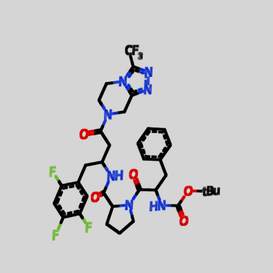 CC(C)(C)OC(=O)NC(Cc1ccccc1)C(=O)N1CCCC1C(=O)NC(CC(=O)N1CCn2c(nnc2C(F)(F)F)C1)Cc1cc(F)c(F)cc1F